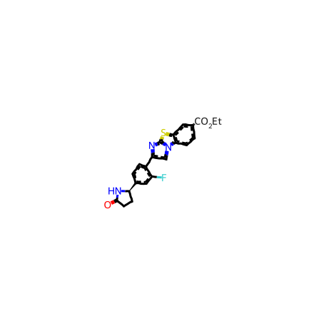 CCOC(=O)c1ccc2c(c1)sc1nc(-c3ccc([C@H]4CCC(=O)N4)cc3F)cn12